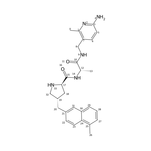 Cc1nc(N)ccc1CNC(=O)[C@H](C)NC(=O)[C@H]1C[C@H](Cc2ccc3c(C)cccc3c2)CN1